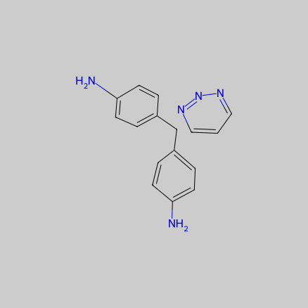 Nc1ccc(Cc2ccc(N)cc2)cc1.c1cnnnc1